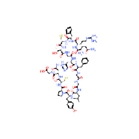 CC(C)C[C@H](NC(=O)CNC(=O)CNC(=O)[C@H](Cc1ccccc1)NC(=O)[C@H](Cc1cnc[nH]1)NC(=O)CNC(=O)[C@@H](NC(=O)[C@H](CS)NC(=O)[C@H](Cc1ccccc1)NC(=O)[C@H](CCCN=C(N)N)NC(=O)[C@@H](N)CCC(N)=O)[C@@H](C)O)C(=O)N[C@@H](Cc1ccc(O)cc1)C(=O)N1CCC[C@H]1C(=O)N[C@@H](CS)C(=O)N[C@@H](CC(N)=O)C(=O)NCC(=O)O